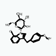 CC(C)Oc1ccc(Cc2cn([C@@H]3O[C@H](CO)[C@@H](O)[C@H](O)[C@H]3O)c3c(Cl)cccc23)cc1